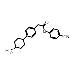 CC1CCC(c2ccc(CC(=O)Oc3ccc(C#N)cc3)cc2)CC1